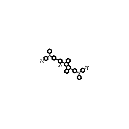 COc1cc(-c2ccc(N(c3ccccc3)c3ccc([Si](C)(C)C)cc3)cc2)ccc1-c1cc2c3ccccc3c(-c3ccc(N(c4ccccc4)c4ccc([Si](C)(C)C)cc4)cc3)cc2c2ccccc12